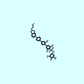 CCCCC1Cc2ccc(-c3ccc(-c4ccc(-c5cc(F)c(C(F)(F)Oc6cc(F)c(F)c(F)c6)c(F)c5)c(F)c4)cc3)cc2C1